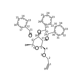 C#CCOC[C@H]1O[C@@H](C)[C@H](OCc2ccccc2)[C@@H](OCc2ccccc2)[C@@H]1OCc1ccccc1